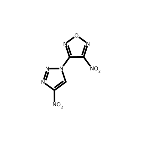 O=[N+]([O-])c1cn(-c2nonc2[N+](=O)[O-])nn1